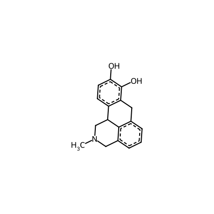 CN1Cc2cccc3c2C(C1)c1ccc(O)c(O)c1C3